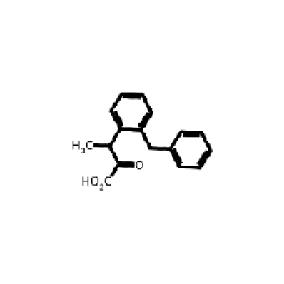 CC(C(=O)C(=O)O)c1ccccc1Cc1ccccc1